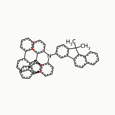 CC1(C)c2ccc(N(c3ccccc3-c3cccc4cccc(-c5ccccc5)c34)c3cccc4c3sc3ccccc34)cc2-c2ccc3ccccc3c21